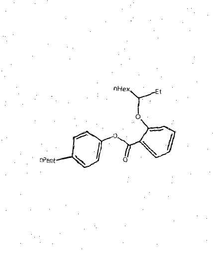 CCCCCCC(CC)Oc1ccccc1C(=O)Oc1ccc(CCCCC)cc1